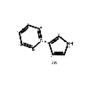 [Zn].c1cc[nH]c1.c1ccncc1